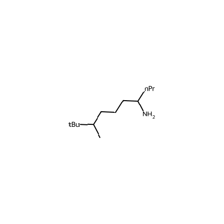 CCCC(N)CCCC(C)C(C)(C)C